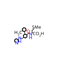 CSCCC(NC(=O)c1ccc(CNc2cccnc2)cc1-c1ccccc1C)C(=O)O